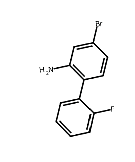 Nc1cc(Br)ccc1-c1ccccc1F